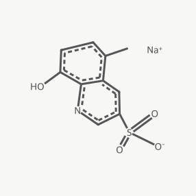 Cc1ccc(O)c2ncc(S(=O)(=O)[O-])cc12.[Na+]